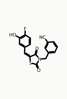 N#Cc1cccc(CN2C(=O)SC(=Cc3ccc(F)c(O)c3)C2=O)c1